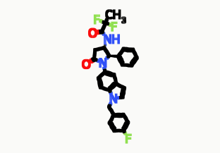 CC(F)(F)C(=O)N[C@H]1CC(=O)N(c2ccc3c(ccn3Cc3ccc(F)cc3)c2)[C@@H]1c1ccccc1